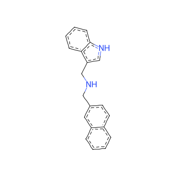 c1ccc2cc(CNCc3c[nH]c4ccccc34)ccc2c1